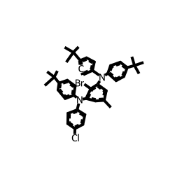 Cc1cc(N(c2ccc(Cl)cc2)c2ccc(C(C)(C)C)cc2)c(Br)c(N(c2ccc(C(C)(C)C)cc2)c2ccc(C(C)(C)C)cc2)c1